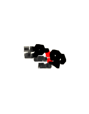 Bc1ccc(COc2ccc3c(c2)[C@@]2(CCC3)C[C@@H]2C(=O)OC)cc1[C@H](OC)C(C)(C)C